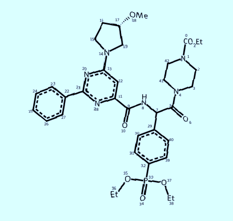 CCOC(=O)N1CCN(C(=O)C(NC(=O)c2cc(N3CC[C@H](OC)C3)nc(-c3ccccc3)n2)c2ccc(P(=O)(OCC)OCC)cc2)CC1